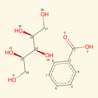 O=C(O)c1ccccc1.OC[C@@H](O)[C@H](O)[C@@H](O)CO